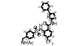 CC(=O)NCc1ccc(S(=O)(=O)Nc2cc(C(F)(F)F)ccc2C(=O)Nc2nc(-c3ccccc3)cs2)cc1